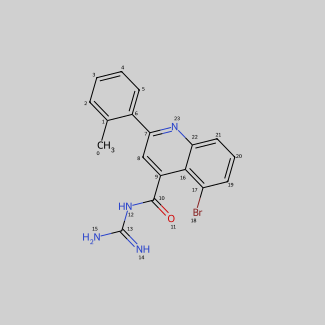 Cc1ccccc1-c1cc(C(=O)NC(=N)N)c2c(Br)cccc2n1